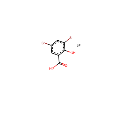 O=C(O)c1cc(Br)cc(Br)c1O.[LiH]